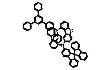 c1ccc(-c2cc(-c3ccccc3)cc(-c3ccc(N(c4ccccc4)c4cccc5oc6ccc(N(c7ccc8c(c7)C7(c9ccccc9-c9ccccc97)c7ccccc7-8)c7cccc8c7sc7ccccc78)cc6c45)cc3)c2)cc1